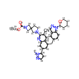 Cc1ccc2c(cnn2C2CCCCO2)c1-c1c(C#N)c(N2CCC3(CN(C(=O)OC(C)(C)C)C3)C2)nc2cc(-c3ccnn3C)ccc12